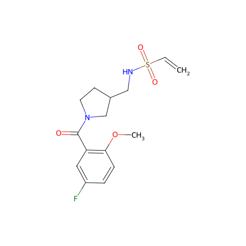 C=CS(=O)(=O)NCC1CCN(C(=O)c2cc(F)ccc2OC)C1